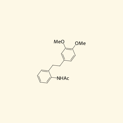 COc1ccc(CCc2ccccc2NC(C)=O)cc1OC